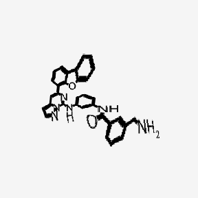 NCc1cccc(C(=O)Nc2cccc(Nc3nc(-c4cccc5c4oc4ccccc45)cc4ccnn34)c2)c1